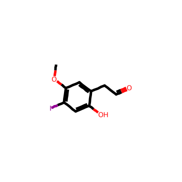 COc1cc(CC=O)c(O)cc1I